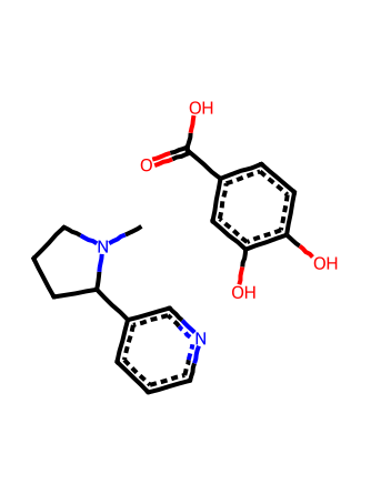 CN1CCCC1c1cccnc1.O=C(O)c1ccc(O)c(O)c1